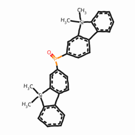 C[Si]1(C)c2ccccc2-c2ccc([P](=O)c3ccc4c(c3)[Si](C)(C)c3ccccc3-4)cc21